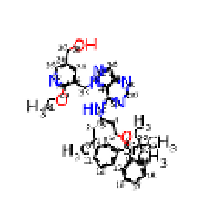 CCC[C@@H](CCO[Si](c1ccccc1)(c1ccccc1)C(C)(C)C)Nc1n[c]nc2cnn(Cc3cc(CO)cnc3OC)c12